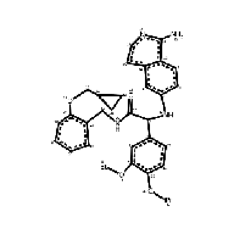 CCOc1cc(C(Nc2ccc3c(N)nccc3c2)C(=O)NCc2ccccc2OCC2CC2)ccc1OC(C)C